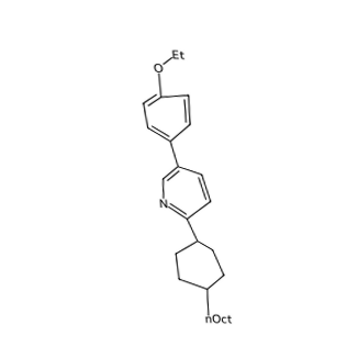 CCCCCCCCC1CCC(c2ccc(-c3ccc(OCC)cc3)cn2)CC1